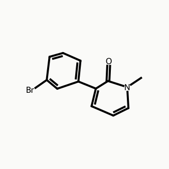 Cn1cccc(-c2cccc(Br)c2)c1=O